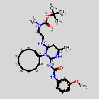 COc1cccc(NC(=O)NC2NC(C)CC(NCCN(C)C(=O)OC(C)(C)C)N2/C2=C/CCCCCCCC2)c1